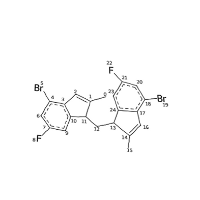 CC1=Cc2c(Br)cc(F)cc2C1CC1C(C)=Cc2c(Br)cc(F)cc21